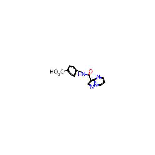 O=C(O)c1ccc(CNC(=O)c2cnn3cccnc23)cc1